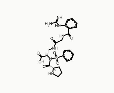 N=C(N)Nc1ccccc1C(=O)NCC(=O)NC[C@@H](C(=O)O)N(C(=O)[C@@H]1CCCN1)S(=O)(=O)c1ccccc1